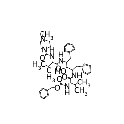 CC(C)[C@H](NC(=O)OCc1ccccc1)C(=O)NC(Cc1ccccc1)C(O)C(Cc1ccccc1)NC(=O)[C@@H](NC(=O)N1CCN(C)CC1)C(C)C